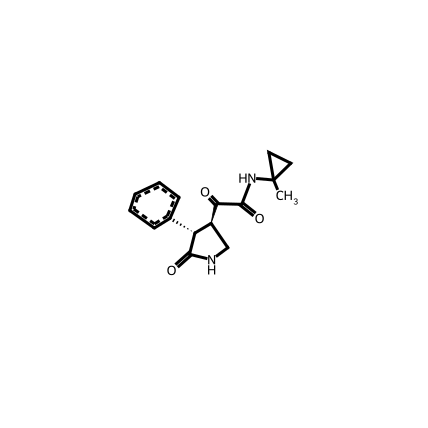 CC1(NC(=O)C(=O)[C@H]2CNC(=O)[C@@H]2c2ccccc2)CC1